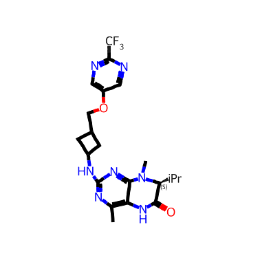 Cc1nc(NC2CC(COc3cnc(C(F)(F)F)nc3)C2)nc2c1NC(=O)[C@H](C(C)C)N2C